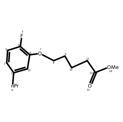 CCCc1ccc(F)c(OCCCCC(=O)OC)c1